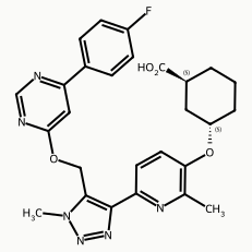 Cc1nc(-c2nnn(C)c2COc2cc(-c3ccc(F)cc3)ncn2)ccc1O[C@H]1CCC[C@H](C(=O)O)C1